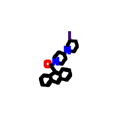 O=C(c1c2ccccc2cc2ccccc12)N1CCC(N2CCC[C@@H](I)C2)CC1